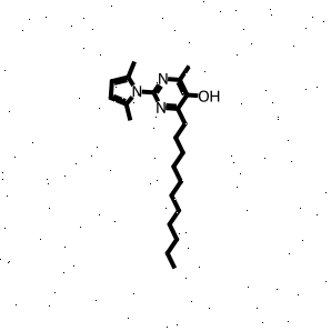 CCCCCCCCCCCc1nc(-n2c(C)ccc2C)nc(C)c1O